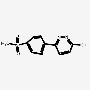 Cc1ccc(-c2ccc(S(C)(=O)=O)cc2)nn1